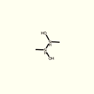 C[SiH](O)[SiH](C)O